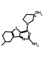 CC1CCc2sc3c(N4CC[C@@H](N)C4)nc(N)nc3c2C1